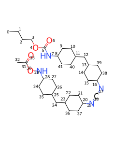 CCCCOC(=O)NC1CCC(CC2CCC(N=C=NC3CCC(CC4CCC(NOC(C)=O)CC4)CC3)CC2)CC1